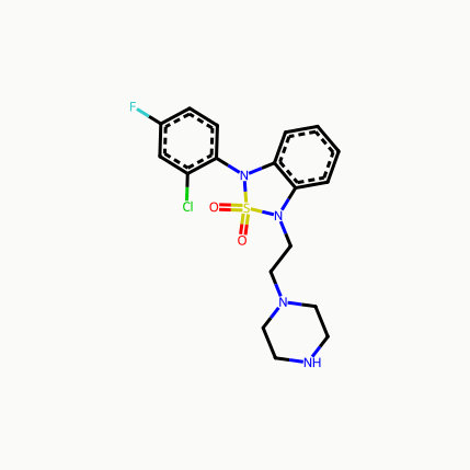 O=S1(=O)N(CCN2CCNCC2)c2ccccc2N1c1ccc(F)cc1Cl